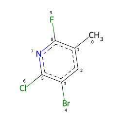 Cc1cc(Br)c(Cl)nc1F